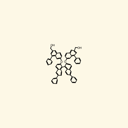 OCc1cc(-c2ccccc2)c2cc(Oc3ccc4cc(-c5ccccc5)ccc4c3-c3c(Oc4ccc5cc(CO)cc(-c6ccccc6)c5c4)ccc4cc(-c5ccccc5)ccc34)ccc2c1